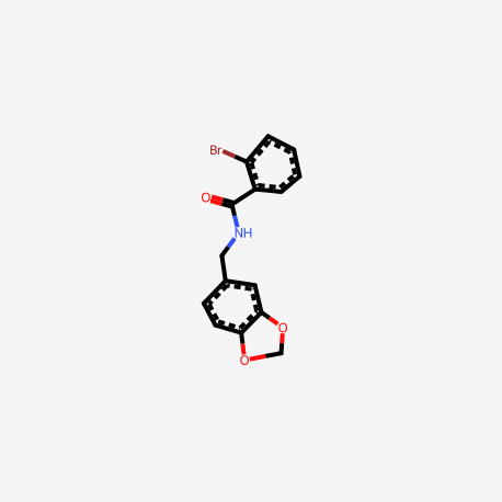 O=C(NCc1ccc2c(c1)OCO2)c1ccccc1Br